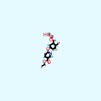 CCOC(=O)c1ccc(Oc2ccc(C)c(COOO)c2)nc1